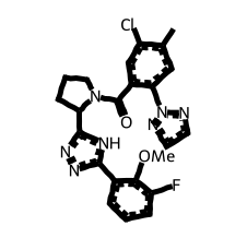 COc1c(F)cccc1-c1nnc(C2CCCN2C(=O)c2cc(Cl)c(C)cc2-n2nccn2)[nH]1